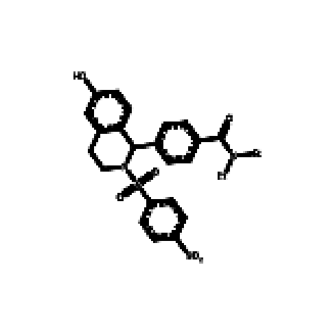 CCN(CC)C(=O)c1ccc(C2c3ccc(O)cc3CCN2S(=O)(=O)c2ccc([N+](=O)[O-])cc2)cc1